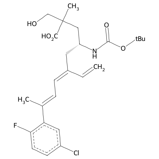 C=C/C(=C\C=C(/C)c1cc(Cl)ccc1F)C[C@H](CC(C)(CO)C(=O)O)NC(=O)OC(C)(C)C